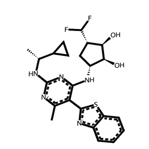 Cc1nc(N[C@H](C)C2CC2)nc(N[C@@H]2C[C@H](C(F)F)[C@@H](O)[C@H]2O)c1-c1nc2ccccc2s1